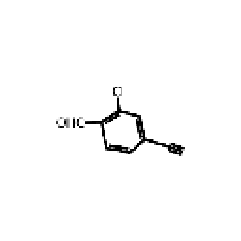 C#Cc1ccc(C=O)c(Cl)c1